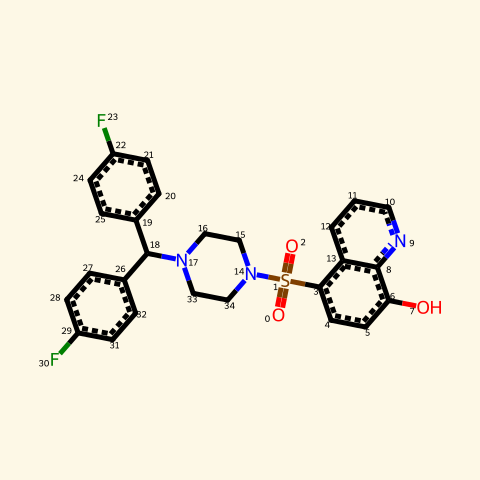 O=S(=O)(c1ccc(O)c2ncccc12)N1CCN(C(c2ccc(F)cc2)c2ccc(F)cc2)CC1